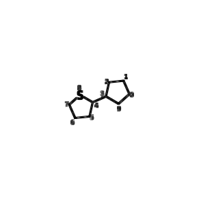 C1CC[C](C2CCCS2)C1